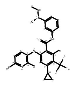 CN[S@+]([O-])c1cccc(NC(=O)c2c(Oc3ccc(F)nc3C)cc(C3CC3)c(C(F)(F)F)c2C)c1